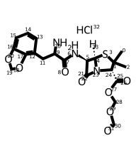 CC1(C)S[C@@H]2[C@H](NC(=O)C(N)Cc3cccc4c3OCO4)C(=O)N2[C@H]1C(=O)OCOC=O.Cl